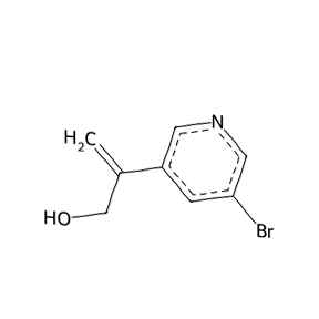 C=C(CO)c1cncc(Br)c1